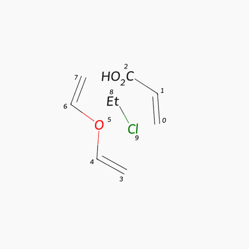 C=CC(=O)O.C=COC=C.CCCl